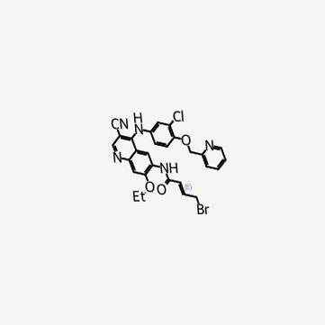 CCOc1cc2ncc(C#N)c(Nc3ccc(OCc4ccccn4)c(Cl)c3)c2cc1NC(=O)/C=C/CBr